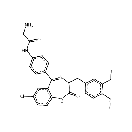 CCc1ccc(CC2N=C(c3ccc(NC(=O)CN)cc3)c3cc(Cl)ccc3NC2=O)cc1CC